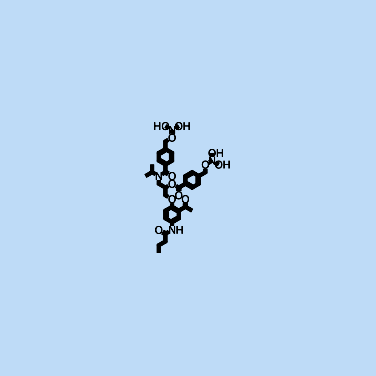 CCCC(=O)Nc1ccc(OCC(CN(C(=O)c2ccc(CON(O)O)cc2)C(C)C)OC(=O)c2ccc(CON(O)O)cc2)c(C(C)=O)c1